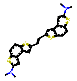 CN(C)c1cc2c(ccc3sc(/C=C/c4cc5c(ccc6sc(N(C)C)cc65)s4)cc32)s1